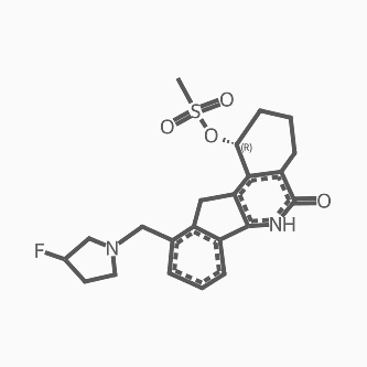 CS(=O)(=O)O[C@@H]1CCCc2c1c1c([nH]c2=O)-c2cccc(CN3CCC(F)C3)c2C1